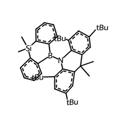 CC(C)(C)c1cc(C(C)(C)C)c2c(c1)C(C)(C)c1cc(C(C)(C)C)cc(C(C)(C)C)c1N2B1c2ccccc2[Si](C)(C)c2ccccc21